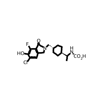 CC(NC(=O)O)[C@H]1CC[C@H](CN2Cc3cc(Cl)c(O)c(F)c3C2=O)CC1